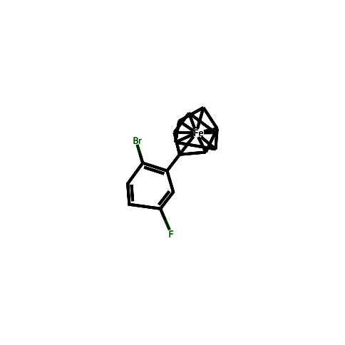 Fc1ccc(Br)c([C]23[CH]4[CH]5[CH]6[CH]2[Fe]56432789[CH]3[CH]2[CH]7[CH]8[CH]39)c1